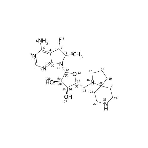 CC1C(F)c2c(N)ncnc2N1[C@@H]1O[C@H](CN2CCCC23CCNCC3)[C@@H](O)[C@H]1O